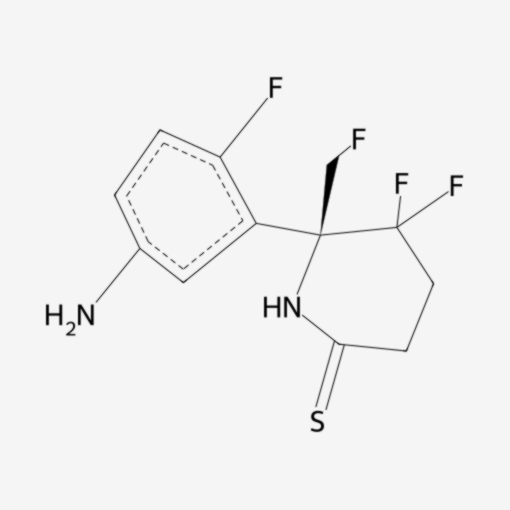 Nc1ccc(F)c([C@@]2(CF)NC(=S)CCC2(F)F)c1